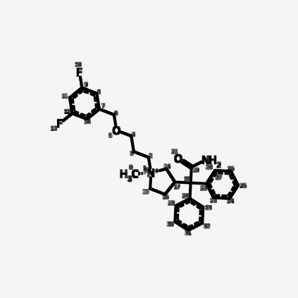 C[N@@+]1(CCCOCc2cc(F)cc(F)c2)CCC(C(C(N)=O)(c2ccccc2)c2ccccc2)C1